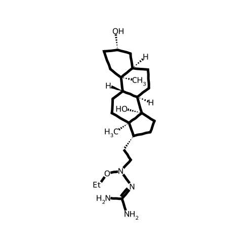 CCON(CC[C@H]1CC[C@]2(O)[C@@H]3CC[C@@H]4C[C@@H](O)CC[C@]4(C)[C@H]3CC[C@]12C)N=C(N)N